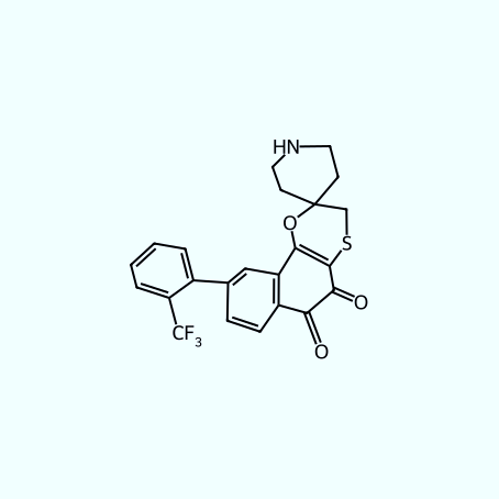 O=C1C(=O)c2ccc(-c3ccccc3C(F)(F)F)cc2C2=C1SCC1(CCNCC1)O2